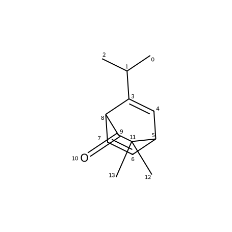 CC(C)C1=CC2C=CC1C(=O)C2(C)C